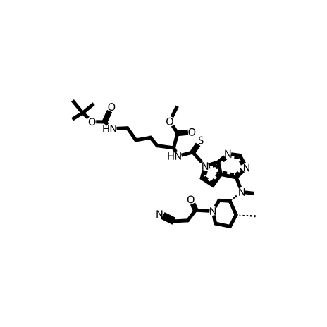 COC(=O)C(CCCCNC(=O)OC(C)(C)C)NC(=S)n1ccc2c(N(C)[C@H]3CN(C(=O)CC#N)CC[C@H]3C)ncnc21